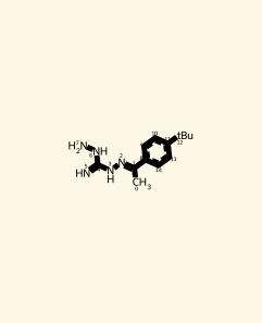 C/C(=N\NC(=N)NN)c1ccc(C(C)(C)C)cc1